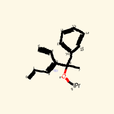 C=C/C=C(\C=C)C(C)(OC(C)C)c1ccccc1